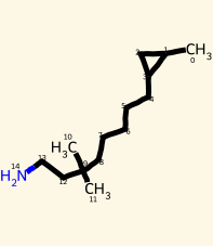 CC1CC1CCCCCC(C)(C)CCN